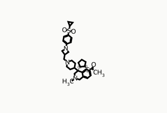 CC(=O)S[C@@H]1CCC[C@H]1C1(C2CCN(CC3CN(c4ccc(S(=O)(=O)C5CC5)cc4)C3)CC2)CN(C)Cc2ccccc21